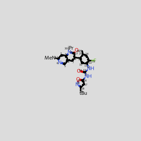 CNc1cc2c(cn1)cc(-c1cc(NC(=O)Nc3cc(C(C)(C)C)no3)c(F)cc1C)c(=O)n2C(C)C